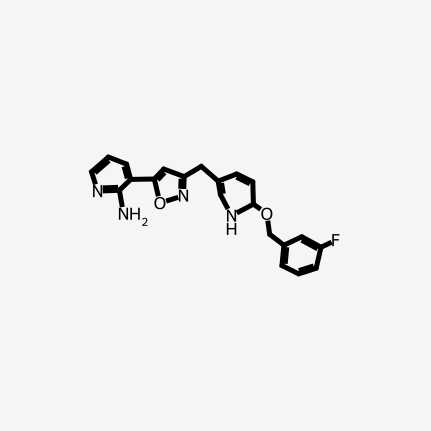 Nc1ncccc1-c1cc(CC2=CNC(OCc3cccc(F)c3)C=C2)no1